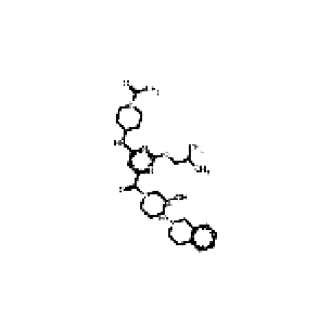 CC(=O)N1CCC(Nc2cc(C(=O)N3CC[C@@H](N4CCc5ccccc5C4)[C@H](O)C3)nc(OCC(C)C)n2)CC1